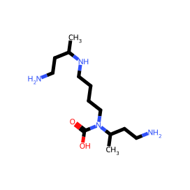 CC(CCN)NCCCCN(C(=O)O)C(C)CCN